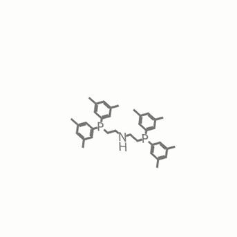 Cc1cc(C)cc(P(CCNCCP(c2cc(C)cc(C)c2)c2cc(C)cc(C)c2)c2cc(C)cc(C)c2)c1